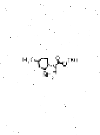 CC1CC[C@H](NC(=O)OC(C)(C)C)[C@@H](N)C1